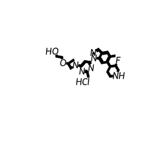 Cc1nc(N2CC(OCCO)C2)cc(-n2ncc3cc(C)c(C4CCNCC4F)cc32)n1.Cl